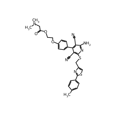 Cc1ccc(-c2nc(CSc3nc(N)c(C#N)c(-c4ccc(OCCOC(=O)CN(C)C)cc4)c3C#N)cs2)cc1